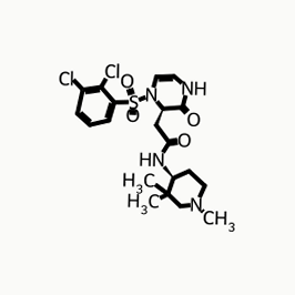 CN1CC[C@H](NC(=O)C[C@@H]2C(=O)NC=CN2S(=O)(=O)c2cccc(Cl)c2Cl)C(C)(C)C1